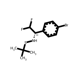 CC(C)(C)SN[C@@H](c1ccc(Br)cc1)C(F)F